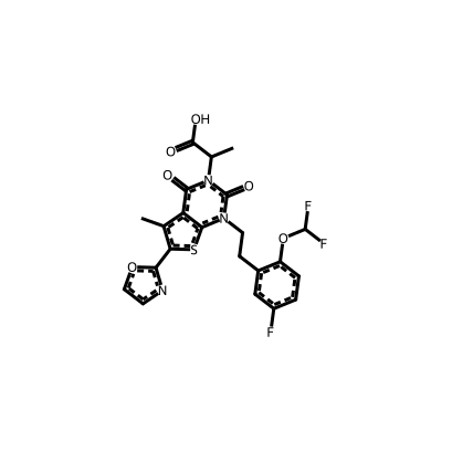 Cc1c(-c2ncco2)sc2c1c(=O)n(C(C)C(=O)O)c(=O)n2CCc1cc(F)ccc1OC(F)F